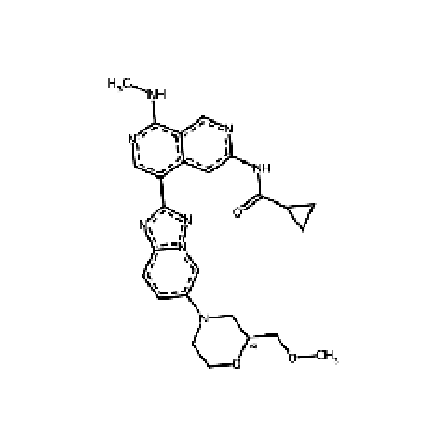 CNc1ncc(-c2nc3ccc(N4CCO[C@H](COC)C4)cn3n2)c2cc(NC(=O)C3CC3)ncc12